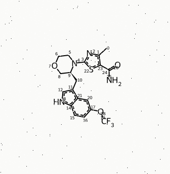 Cc1nc(N2CCOC[C@@H]2Cc2c[nH]c3ccc(OC(F)(F)F)cc23)sc1C(N)=O